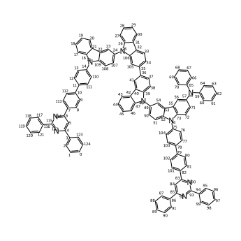 c1ccc(-c2cc(-c3ccc(-c4ccc(-n5c6ccccc6c6cc(-n7c8ccccc8c8ccc(-c9ccc%10c(c9)c9ccccc9n%10-c9ccc%10c(c9)c9cc(N(c%11ccccc%11)c%11ccccc%11)ccc9n%10-c9ccc(-c%10ccc(-c%11cc(-c%12ccccc%12)nc(-c%12ccccc%12)n%11)cc%10)cc9)cc87)ccc65)cc4)cc3)nc(-c3ccccc3)n2)cc1